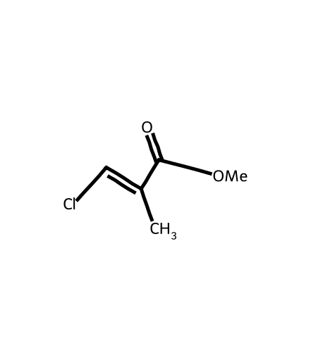 COC(=O)/C(C)=C/Cl